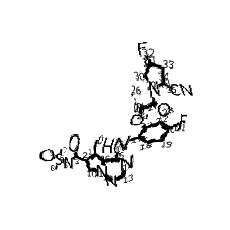 Cc1c(C(=O)N=S(C)(C)=O)cn2ncnc(Nc3ccc(F)cc3O[C@H](C)C(=O)N3C[C@@H](F)C[C@H]3C#N)c12